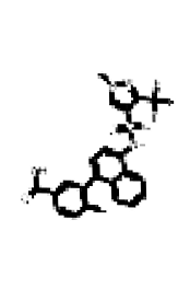 Cn1cc(S(=O)(=O)Nc2ccc(-c3cc(C(=O)O)ccc3F)c3ccccc23)c(C(F)(F)F)n1